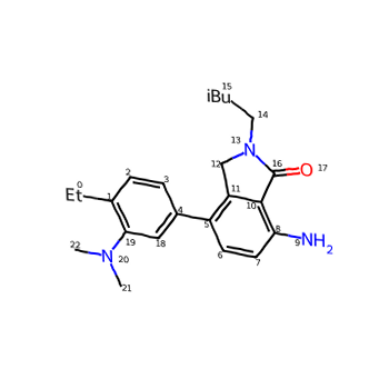 CCc1ccc(-c2ccc(N)c3c2CN(CC(C)CC)C3=O)cc1N(C)C